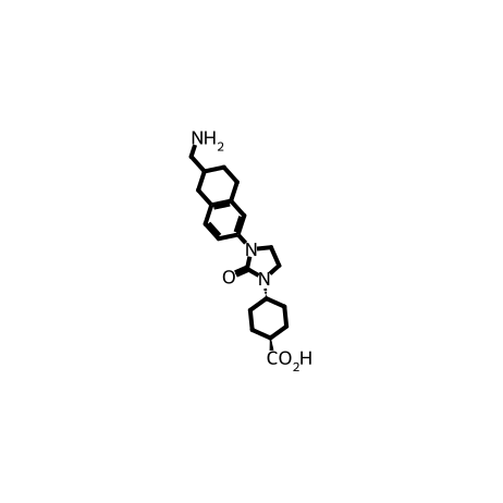 NCC1CCc2cc(N3CCN([C@H]4CC[C@H](C(=O)O)CC4)C3=O)ccc2C1